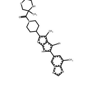 Cc1c(C2CCN(C(=O)C3(C)COCCN3)CC2)sc2[nH]c(-c3cc(C)c4ncnn4c3)c(C(C)C)c12